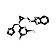 Nc1nc(Cl)cc(N(Cc2cccs2)C2C[C@H]2COc2nc3ccccc3[nH]2)n1